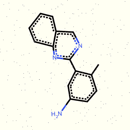 Cc1ccc(N)cc1-c1ncc2ccccc2n1